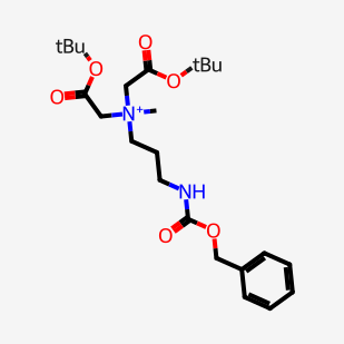 CC(C)(C)OC(=O)C[N+](C)(CCCNC(=O)OCc1ccccc1)CC(=O)OC(C)(C)C